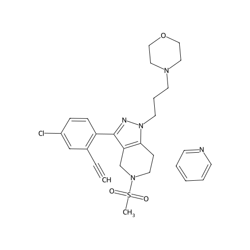 C#Cc1cc(Cl)ccc1-c1nn(CCCN2CCOCC2)c2c1CN(S(C)(=O)=O)CC2.c1ccncc1